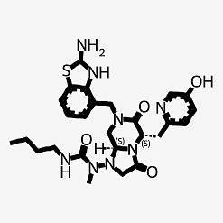 CCCCNC(=O)N(C)N1CC(=O)N2[C@@H](Cc3ccc(O)cn3)C(=O)N(Cc3cccc4c3NC(N)S4)C[C@@H]21